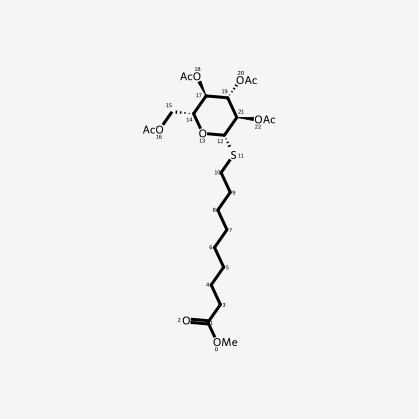 COC(=O)CCCCCCCCS[C@@H]1O[C@H](COC(C)=O)[C@@H](OC(C)=O)[C@H](OC(C)=O)[C@H]1OC(C)=O